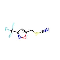 N#CSCc1cc(C(F)(F)F)no1